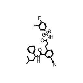 CC(C)CC(NC(=O)c1cc(C#N)ccc1CCC(=O)NS(=O)(=O)c1ccc(F)c(F)c1)c1ccccc1